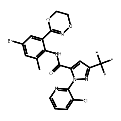 Cc1cc(Br)cc(C2=NOCCO2)c1NC(=O)c1cc(C(F)(F)F)nn1-c1ncccc1Cl